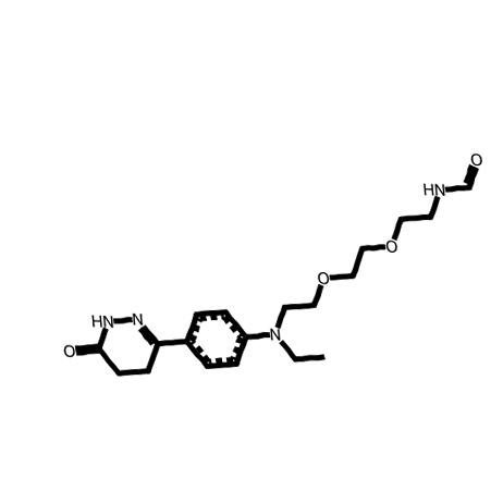 CCN(CCOCCOCCNC=O)c1ccc(C2=NNC(=O)CC2)cc1